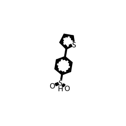 O=[SH](=O)c1ccc(-c2cccs2)cc1